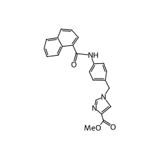 COC(=O)c1cn(Cc2ccc(NC(=O)c3cccc4ccccc34)cc2)cn1